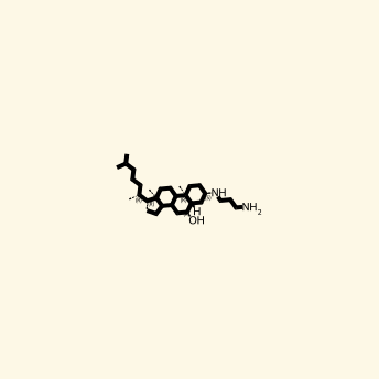 CC(C)CCC[C@@H](C)[C@H]1CCC2C3C[C@@H](O)[C@H]4C[C@@H](NCCCN)CC[C@]4(C)C3CC[C@@]21C